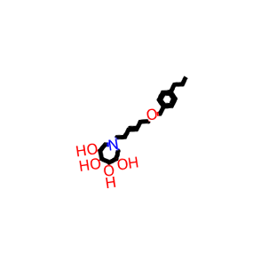 CCCc1ccc(COCC/C=C/CCN2C[C@H](O)[C@@H](O)[C@H](O)[C@@H](O)C2)cc1